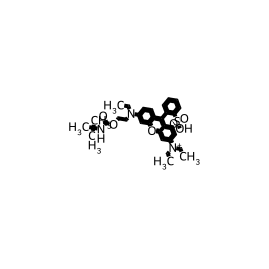 CCN(CCOC(=O)NC(C)(C)C)c1ccc2c(-c3ccccc3S(=O)(=O)O)c3ccc(=[N+](CC)CC)cc-3oc2c1